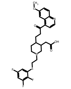 COc1ccc2nccc(C(=O)CCC3CCN(CCSc4cc(F)cc(F)c4F)CC3CC(=O)O)c2c1